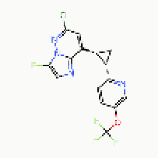 Fc1cnc2c([C@H]3C[C@@H]3c3ccc(OC(F)(F)F)cn3)cc(Cl)nn12